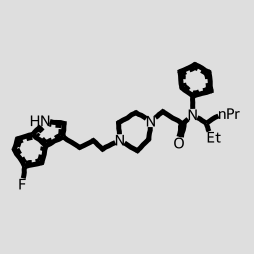 CCCC(CC)N(C(=O)CN1CCN(CCCc2c[nH]c3ccc(F)cc23)CC1)c1ccccc1